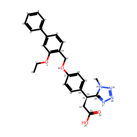 CCOc1cc(-c2ccccc2)ccc1COc1ccc([C@H](CC(=O)O)c2nnnn2C)cc1